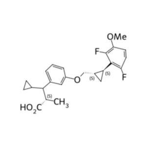 COc1ccc(F)c([C@H]2C[C@@H]2COc2cccc(C(C3CC3)[C@H](C)C(=O)O)c2)c1F